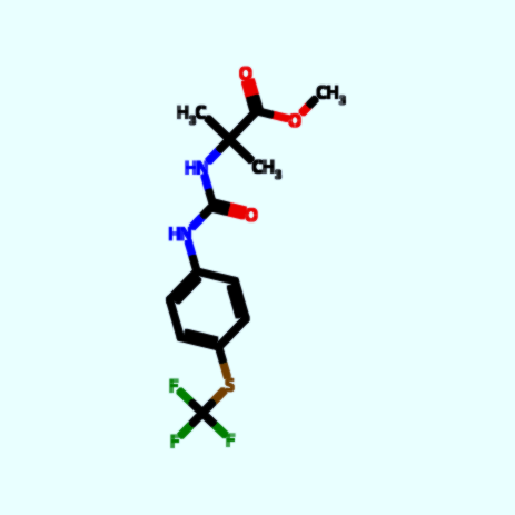 COC(=O)C(C)(C)NC(=O)Nc1ccc(SC(F)(F)F)cc1